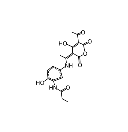 CCC(=O)Nc1cc(NC(C)=C2C(=O)OC(=O)C(C(C)=O)=C2O)ccc1O